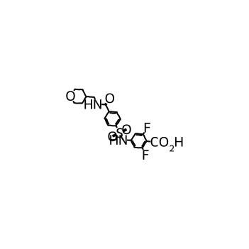 O=C(NCC1CCOCC1)c1ccc(S(=O)(=O)Nc2cc(F)c(C(=O)O)c(F)c2)cc1